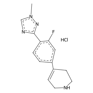 Cl.Cn1cnc(-c2ccc(C3=CCNCC3)cc2F)n1